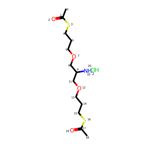 CC(=O)SCCCOCC(N)COCCCSC(C)=O.Cl